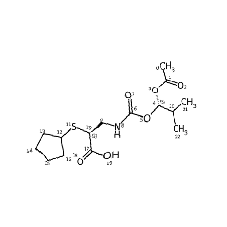 CC(=O)O[C@@H](OC(=O)NC[C@H](SC1CCCC1)C(=O)O)C(C)C